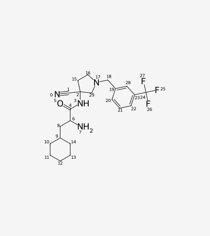 N#CC1(NC(=O)C(N)CC2CCCCC2)CCN(Cc2cccc(C(F)(F)F)c2)C1